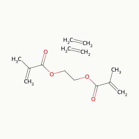 C=C.C=C.C=C(C)C(=O)OCCOC(=O)C(=C)C